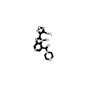 CCn1c(-c2nonc2N)nc2cncc(C(=O)N3CCOCC3)c21